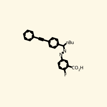 CCCCC(N=Nc1ccc(F)c(C(=O)O)c1)c1ccc(C#Cc2ccccc2)cc1